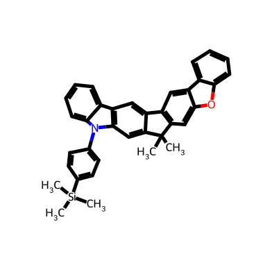 CC1(C)c2cc3oc4ccccc4c3cc2-c2cc3c4ccccc4n(-c4ccc([Si](C)(C)C)cc4)c3cc21